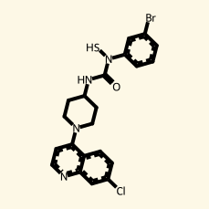 O=C(NC1CCN(c2ccnc3cc(Cl)ccc23)CC1)N(S)c1cccc(Br)c1